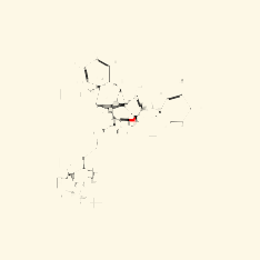 CC1(OC(=O)C2C(C(=O)OCCC(F)C(F)(F)S(=O)(=O)O)C3c4cccc5c4[C@@]52C2C=CC=CC32C)C=C(I)CCC1